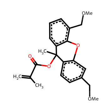 C=C(C)C(=O)OC1(C)c2ccc(COC)cc2Oc2c(COC)cccc21